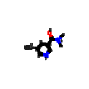 CN(C)C(=O)c1cncc(C(C)(C)C)c1